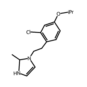 CC(C)Oc1ccc(CCN2C=CNC2C)c(Cl)c1